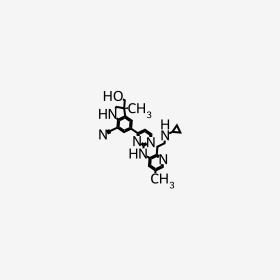 Cc1cnc(CCNC2CC2)c(Nc2nccc(-c3cc(C#N)c4c(c3)[C@@](C)(CO)CN4)n2)c1